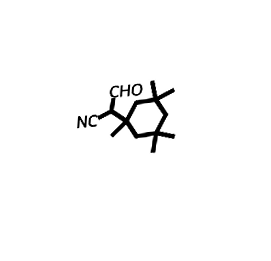 CC1(C)CC(C)(C)CC(C)(C(C#N)C=O)C1